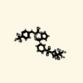 O=C(NCc1ccc(C(F)(F)F)cc1)[C@H]1CCCN1C(=O)[C@H]1CCCN(S(=O)(=O)N2CC(O)(C(F)(F)F)C2)C1